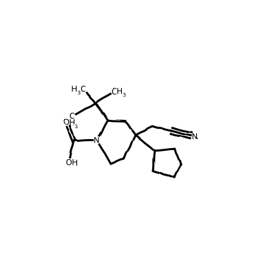 CC(C)(C)C1CC(CC#N)(C2CCCC2)CCN1C(=O)O